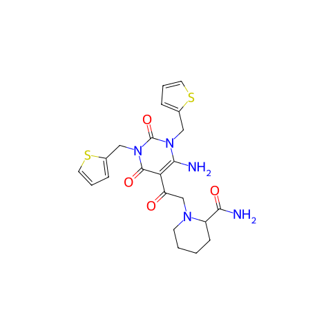 NC(=O)C1CCCCN1CC(=O)c1c(N)n(Cc2cccs2)c(=O)n(Cc2cccs2)c1=O